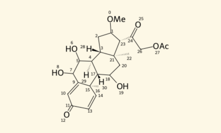 COC1C[C@H]2[C@@H]3C(O)C(O)C4=CC(=O)C=C[C@]4(C)[C@H]3C(O)C[C@]2(C)[C@H]1C(=O)COC(C)=O